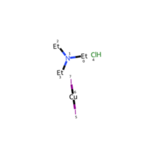 CCN(CC)CC.Cl.[I][Cu][I]